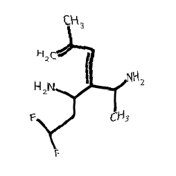 C=C(C)/C=C(/C(C)N)C(N)CC(F)F